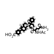 CC(=O)N[C@@H](CCC(N)=O)C(=O)N1CCC(C(=O)N2CC=C3C(C)(C)C(c4ccc(C(=O)O)cc4)=CC[C@]3(C)C2)(c2ccccc2)CC1